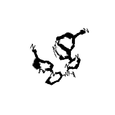 N#Cc1ccc(N2CCC[C@@H](Nc3ccnc(-c4cnn5ccc(C#N)cc45)n3)C2)nc1